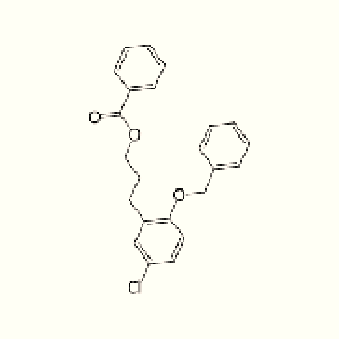 O=C(OCCCc1cc(Cl)ccc1OCc1ccccc1)c1ccccc1